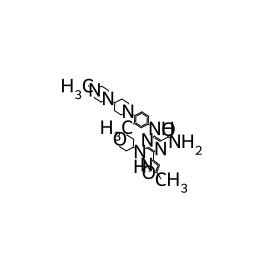 Cc1cc(-c2nc(C(N)=O)c(Nc3ccc(N4CCC(N5CCN(C)CC5)CC4)c(C)c3)nc2NC2CCOCC2)no1